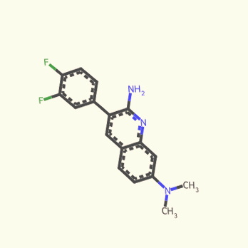 CN(C)c1ccc2cc(-c3ccc(F)c(F)c3)c(N)nc2c1